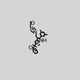 Cc1cc(C)cc(-c2[nH]c3sc(C(C)(C)C(=O)N4C5CCC4CC5)cc3c2CCN2CCN(CC3CO3)CC2)c1